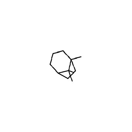 CC12CCCC(CC1)C2(C)C